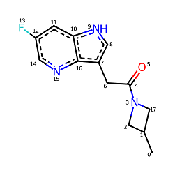 CC1CN(C(=O)Cc2c[nH]c3cc(F)cnc23)C1